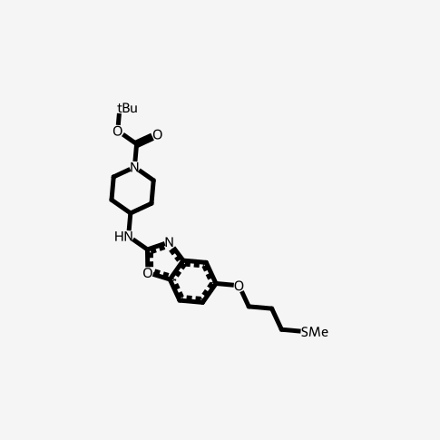 CSCCCOc1ccc2oc(NC3CCN(C(=O)OC(C)(C)C)CC3)nc2c1